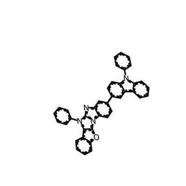 c1ccc(-n2c3ccccc3c3cc(-c4ccc5c(c4)nc4n(-c6ccccc6)c6c7ccccc7oc6n54)ccc32)cc1